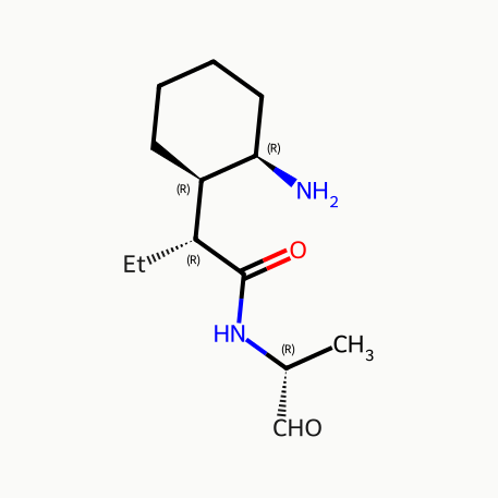 CC[C@@H](C(=O)N[C@H](C)C=O)[C@H]1CCCC[C@H]1N